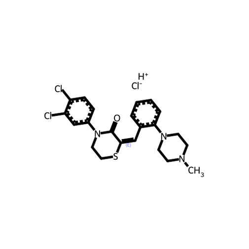 CN1CCN(c2ccccc2/C=C2/SCCN(c3ccc(Cl)c(Cl)c3)C2=O)CC1.[Cl-].[H+]